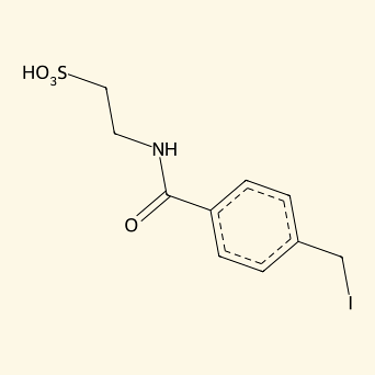 O=C(NCCS(=O)(=O)O)c1ccc(CI)cc1